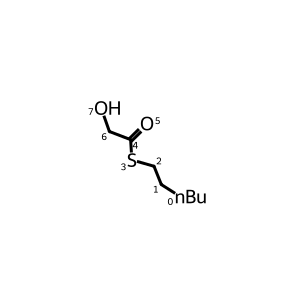 CCCCCCSC(=O)CO